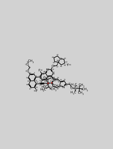 COCOc1cc(-c2c(F)c(OC)c3c(N4CCCn5nc(CO[Si](C)(C)C(C)(C)C)cc5C4)nc(OC[C@@]45CCCN4C[C@H](F)C5)nc3c2F)c2c(C#C[Si](C(C)C)(C(C)C)C(C)C)c(F)ccc2c1